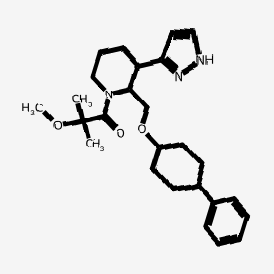 COC(C)(C)C(=O)N1CCCC(c2cc[nH]n2)C1COC1CCC(c2ccccc2)CC1